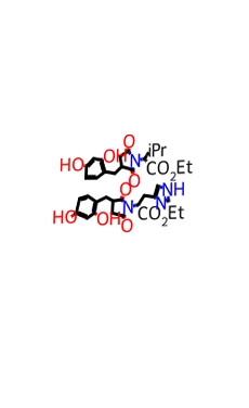 CCOC(=O)C(C(C)C)N1C(=O)CC(Cc2ccc(O)cc2O)C1=O.CCOC(=O)C(Cc1c[nH]cn1)N1C(=O)CC(Cc2ccc(O)cc2O)C1=O